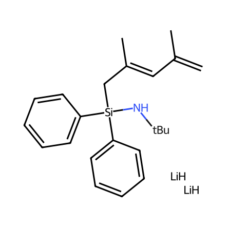 C=C(C)C=C(C)C[Si](NC(C)(C)C)(c1ccccc1)c1ccccc1.[LiH].[LiH]